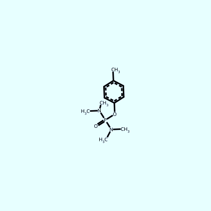 Cc1ccc(OP(=O)(N(C)C)N(C)C)cc1